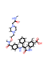 CNC(=O)CN1CCN(CCON(C)C(=O)c2ccc(N/C(=C3\C(=O)Nc4cc(C(=O)O)c(C)cc43)c3ccccc3)cc2)CC1